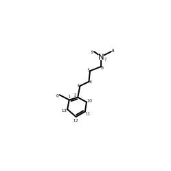 CC1=C(CCCCN(C)C)CC=CC1